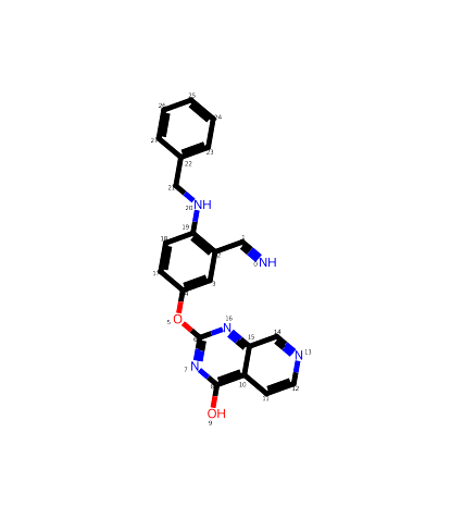 N=Cc1cc(Oc2nc(O)c3ccncc3n2)ccc1NCc1ccccc1